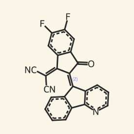 N#CC(C#N)=C1/C(=C2\c3ccccc3-c3ncccc32)C(=O)c2cc(F)c(F)cc21